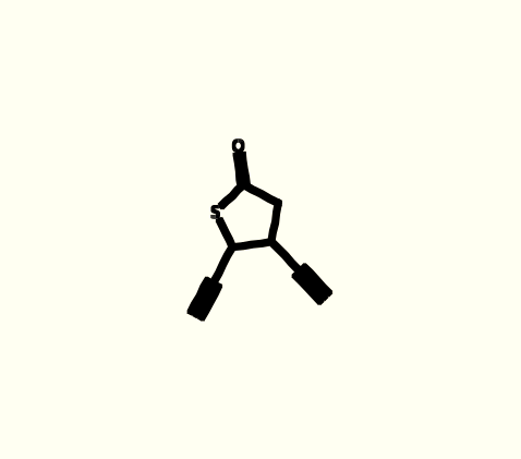 C#CC1CC(=O)SC1C#C